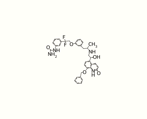 CC(Cc1cccc(OCC(F)(F)c2cccc(NC(N)=O)c2)c1)NC[C@@H](O)c1ccc(OCc2ccccc2)c2[nH]c(=O)ccc12